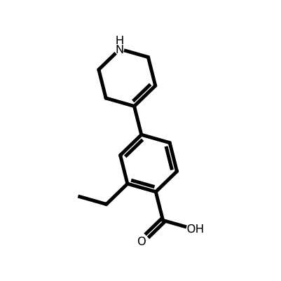 CCc1cc(C2=CCNCC2)ccc1C(=O)O